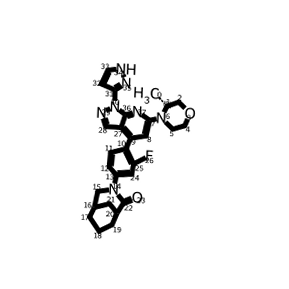 C[C@@H]1COCCN1c1cc(-c2ccc(N3CC4CCCC(C4)C3=O)cc2F)c2cnn(-c3cc[nH]n3)c2n1